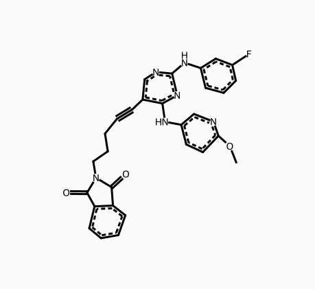 COc1ccc(Nc2nc(Nc3cccc(F)c3)ncc2C#CCCCN2C(=O)c3ccccc3C2=O)cn1